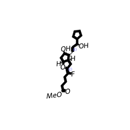 COC(=O)CCC/C(F)=C1/C[C@@H]2[C@@H](/C=C/[C@H](O)C3CCCC3)[C@H](O)C[C@@H]2O1